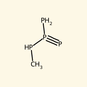 CPP(#P)P